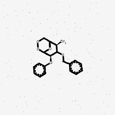 C[C@@H]1C2COOC(O2)[C@H](Oc2ccccc2)C1OCc1ccccc1